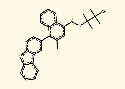 Cc1cc(BOC(C)(C)C(C)(C)O)c2ccccc2c1-c1ccc2oc3ccccc3c2c1